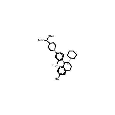 COC(OC)C1CCN(c2ccc([C@H]3c4ccc(O)cc4CC[C@H]3C3CCCCC3)c(C)c2)CC1